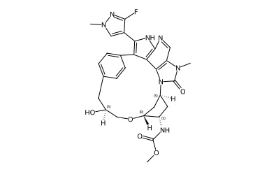 COC(=O)N[C@H]1C[C@H]2C[C@H]1OC[C@@H](O)Cc1ccc(cc1)-c1c(-c3cn(C)nc3F)[nH]c3ncc4c(c13)n2c(=O)n4C